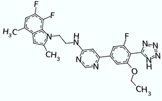 CCOc1cc(-c2cc(NCCn3c(C)cc4c(C)cc(F)c(F)c43)ncn2)cc(F)c1-c1nnn[nH]1